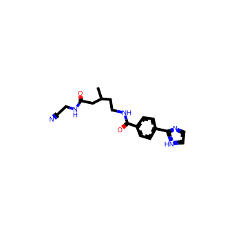 CC(CCNC(=O)c1ccc(-c2ncc[nH]2)cc1)CC(=O)NCC#N